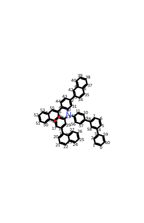 c1ccc(-c2cccc(-c3ccc(N(c4cccc(-c5cccc6ccccc56)c4)c4cc(-c5ccc6ccccc6c5)ccc4-c4ccc5ccccc5c4)cc3)c2)cc1